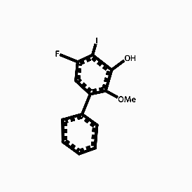 COc1c(-c2ccccc2)cc(F)c(I)c1O